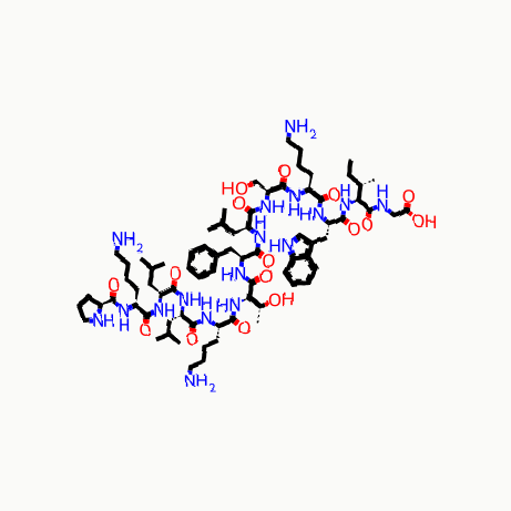 CC[C@H](C)[C@H](NC(=O)[C@H](Cc1c[nH]c2ccccc12)NC(=O)[C@H](CCCCN)NC(=O)[C@H](CO)NC(=O)[C@H](CC(C)C)NC(=O)[C@H](Cc1ccccc1)NC(=O)[C@@H](NC(=O)[C@H](CCCCN)NC(=O)[C@H](CC(C)C)NC(=O)[C@H](CC(C)C)NC(=O)[C@H](CCCCN)NC(=O)[C@@H]1CCCN1)[C@@H](C)O)C(=O)NCC(=O)O